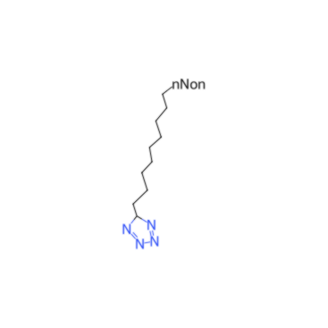 [CH2]CCCCCCCCCCCCCCCCCC1N=NN=N1